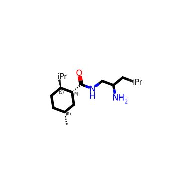 CC(C)CC(N)CNC(=O)[C@@H]1C[C@H](C)CC[C@H]1C(C)C